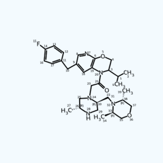 CC(C)C1COc2ncc(Cc3ccc(F)cc3)cc2N1C(=O)CN1C[C@@H](C)NC[C@@H]1CN1[C@H](C)COC[C@H]1C